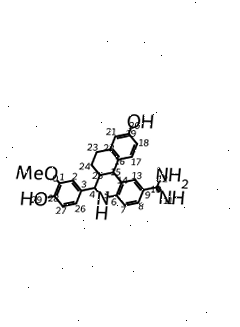 COc1cc(C2Nc3ccc(C(=N)N)cc3C3c4ccc(O)cc4CCC23)ccc1O